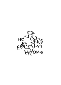 C#CCOc1ccccc1OCC1SCCN1C(=O)C=Cc1cc(CN(CC)CC)c(O)c(OC)c1.Cl